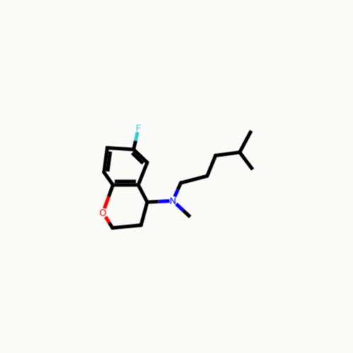 CC(C)CCCN(C)C1CCOc2ccc(F)cc21